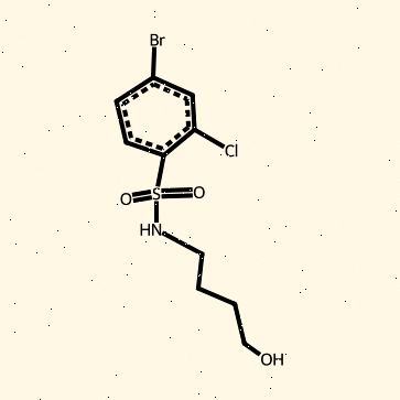 O=S(=O)(NCCCCO)c1ccc(Br)cc1Cl